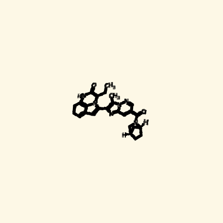 CCC1C(=O)Nc2cccc3cc(-c4nc5cc(C(=O)N6C[C@H]7CC[C@@H]6C7)cnn5c4C)n1c23